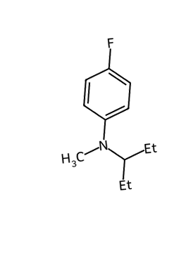 CCC(CC)N(C)c1ccc(F)cc1